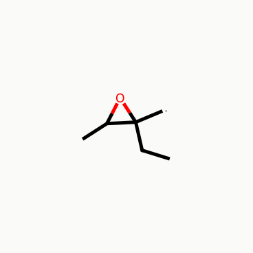 [CH2]C1(CC)OC1C